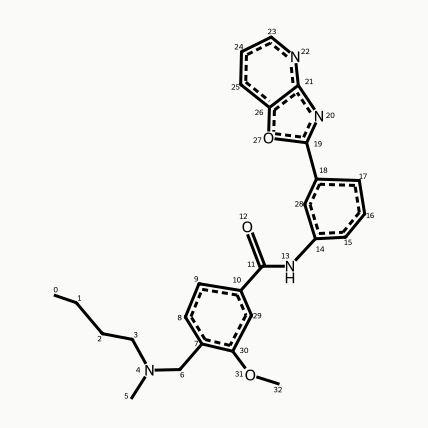 CCCCN(C)Cc1ccc(C(=O)Nc2cccc(-c3nc4ncccc4o3)c2)cc1OC